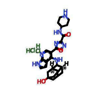 Cl.Cl.O=C(NC1CCNCC1)c1noc(-c2cnc3[nH]ccc3c2NC2[C@@H]3CC4C[C@H]2CC(O)(C4)C3)n1